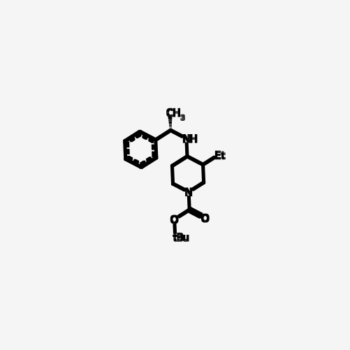 CCC1CN(C(=O)OC(C)(C)C)CCC1N[C@@H](C)c1ccccc1